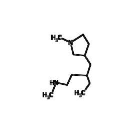 CCC(CCNC)CC1CCN(C)C1